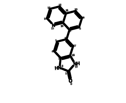 O=c1[nH]c2ccc(-c3cccc4cccnc34)cc2[nH]1